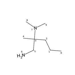 CCCC(C)(CN)N(C)C